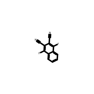 N#Cc1c(C#N)c(F)c2ccccc2c1F